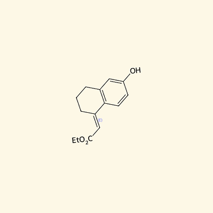 CCOC(=O)/C=C1\CCCc2cc(O)ccc21